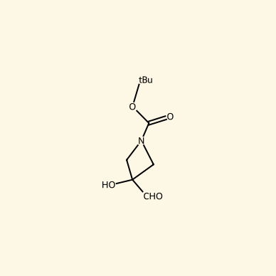 CC(C)(C)OC(=O)N1CC(O)(C=O)C1